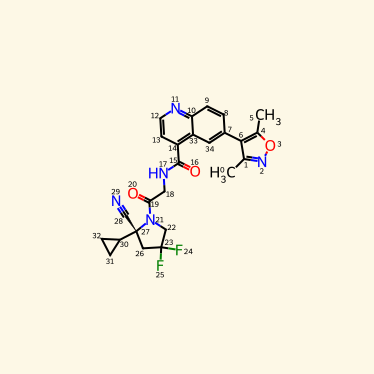 Cc1noc(C)c1-c1ccc2nccc(C(=O)NCC(=O)N3CC(F)(F)C[C@]3(C#N)C3CC3)c2c1